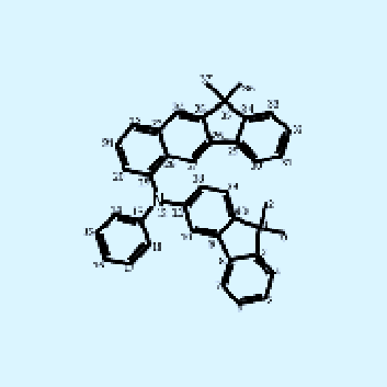 CC1(C)c2ccccc2-c2cc(N(c3ccccc3)c3cccc4cc5c(cc34)-c3ccccc3C5(C)C)ccc21